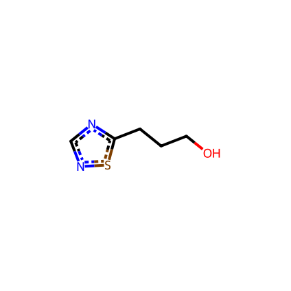 OCCCc1ncns1